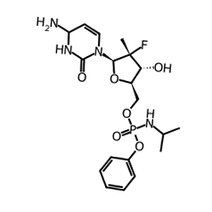 CC(C)NP(=O)(OC[C@H]1O[C@@H](N2C=CC(N)NC2=O)[C@](C)(F)[C@@H]1O)Oc1ccccc1